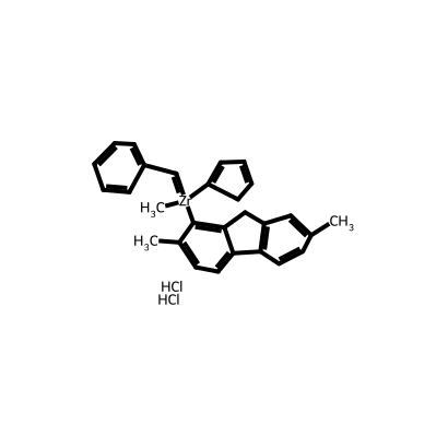 Cc1ccc2c(c1)Cc1c-2ccc(C)[c]1[Zr]([CH3])(=[CH]c1ccccc1)[C]1=CC=CC1.Cl.Cl